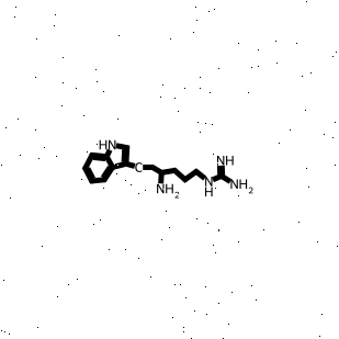 N=C(N)NCCCC(N)CCc1c[nH]c2ccccc12